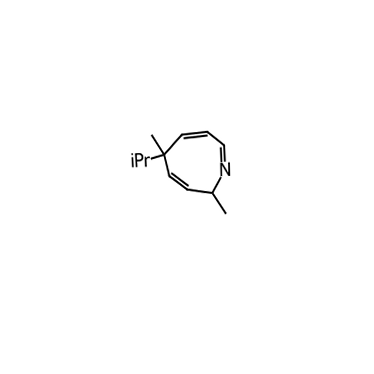 CC1/C=C\C(C)(C(C)C)/C=C\C=N/1